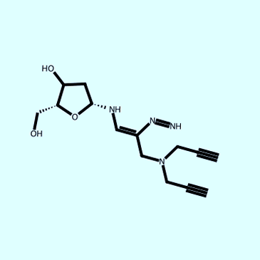 C#CCN(CC#C)C/C(=C/N[C@H]1CC(O)[C@@H](CO)O1)N=N